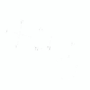 FC(F)(F)C1=NN(c2ccccc2Br)CO1